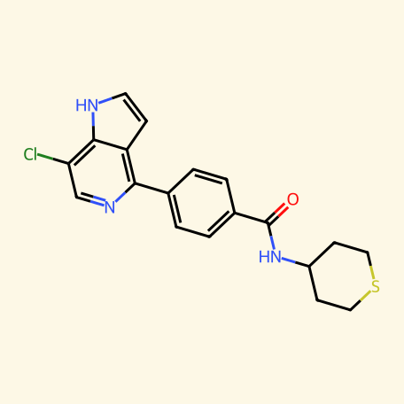 O=C(NC1CCSCC1)c1ccc(-c2ncc(Cl)c3[nH]ccc23)cc1